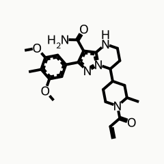 C=CC(=O)N1CCC(C2CCNc3c(C(N)=O)c(-c4cc(OC)c(C)c(OC)c4)nn32)CC1C